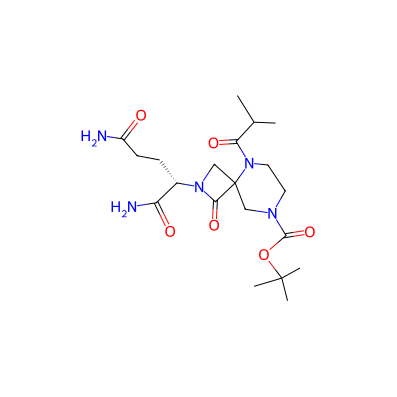 CC(C)C(=O)N1CCN(C(=O)OC(C)(C)C)CC12CN([C@@H](CCC(N)=O)C(N)=O)C2=O